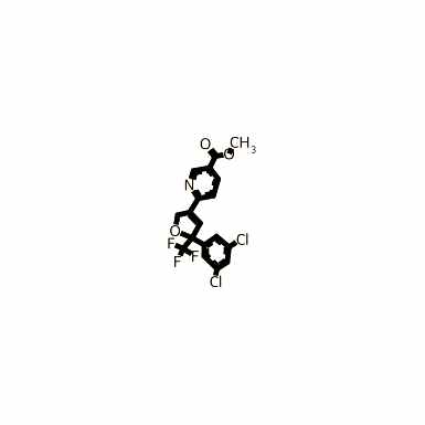 COC(=O)c1ccc(C2=CC(c3cc(Cl)cc(Cl)c3)(C(F)(F)F)OC2)nc1